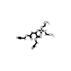 CCOP(=O)(OCC)OC(CC(=O)OCC#N)C(=O)OCC#N